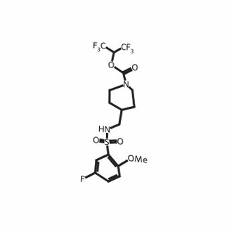 COc1ccc(F)cc1S(=O)(=O)NCC1CCN(C(=O)OC(C(F)(F)F)C(F)(F)F)CC1